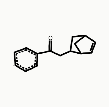 O=C(CC1CC2C=CC1C2)c1cc[c]cc1